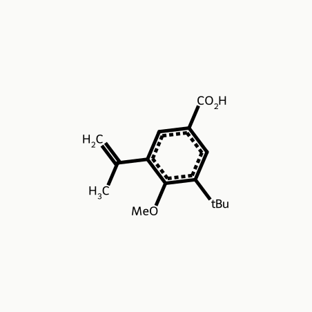 C=C(C)c1cc(C(=O)O)cc(C(C)(C)C)c1OC